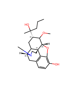 CCCC(C)(O)[C@H]1CC2[C@H]3Cc4ccc(O)c5c4[C@@]2(CCN3C)[C@@H](O5)C1OC